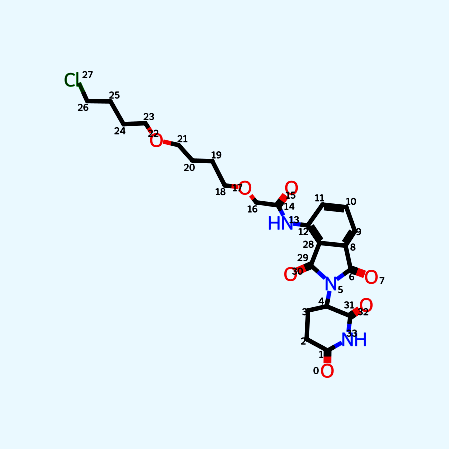 O=C1CCC(N2C(=O)c3cccc(NC(=O)COCCCCOCCCCCl)c3C2=O)C(=O)N1